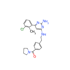 Cc1c(Cl)cccc1-c1cc(NCCc2ccc(C(=O)N3CCCC3)cc2)nc(N)n1